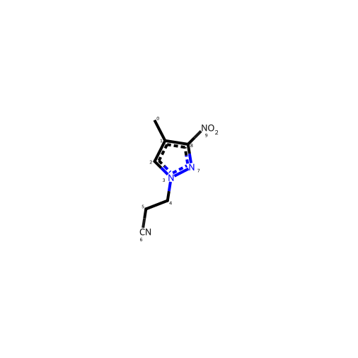 Cc1cn(CCC#N)nc1[N+](=O)[O-]